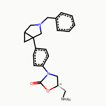 CC(=O)NC[C@H]1CN(c2ccc(C34CC3CN(Cc3ccccc3)C4)cc2)C(=O)O1